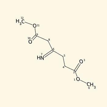 COC(=O)CCC(=N)CC(=O)OC